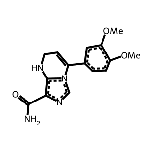 COc1ccc(C2=CCNc3c(C(N)=O)ncn32)cc1OC